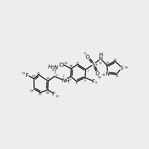 N[C@H](Nc1cc(F)c(S(=O)(=O)Nc2cscn2)cc1Cl)c1cc(F)ccc1F